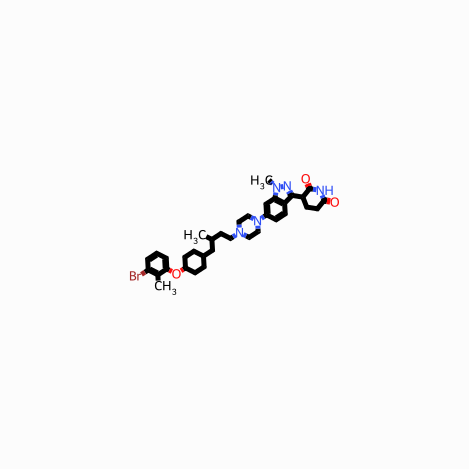 Cc1c(Br)cccc1OC1CCC(CC(C)CCN2CCN(c3ccc4c(C5CCC(=O)NC5=O)nn(C)c4c3)CC2)CC1